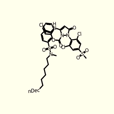 CCCCCCCCCCCCCCCCN(C)S(=O)(=O)c1ccc(Cl)c(Nc2cc(=O)n(-c3c(Cl)cc(S(C)(=O)=O)cc3Cl)n2C(=O)Oc2ccccc2)c1